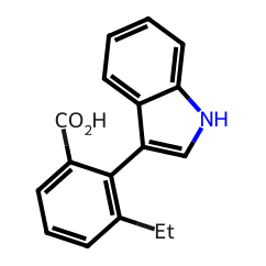 CCc1cccc(C(=O)O)c1-c1c[nH]c2ccccc12